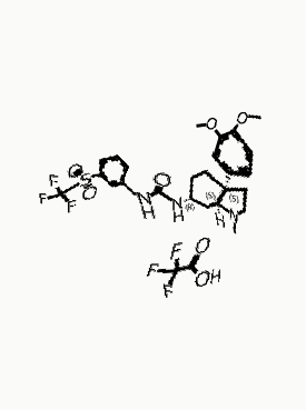 COc1ccc([C@@]23CC[C@@H](NC(=O)Nc4cccc(S(=O)(=O)C(F)(F)F)c4)C[C@@H]2N(C)CC3)cc1OC.O=C(O)C(F)(F)F